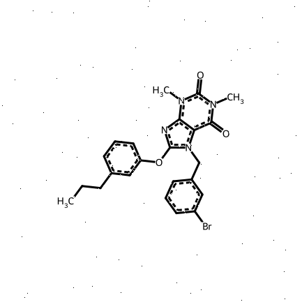 CCCc1cccc(Oc2nc3c(c(=O)n(C)c(=O)n3C)n2Cc2cccc(Br)c2)c1